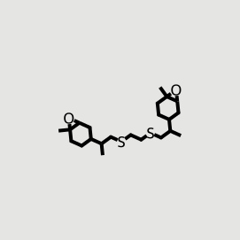 CC(CSCCSCC(C)C1CCC2(C)OC2C1)C1CCC2(C)OC2C1